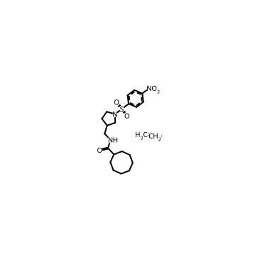 O=C(NCC1CCN(S(=O)(=O)c2ccc([N+](=O)[O-])cc2)C1)[C]1CCCCCCC1.[CH2].[CH2]